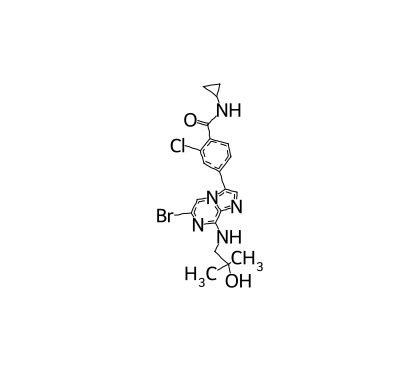 CC(C)(O)CNc1nc(Br)cn2c(-c3ccc(C(=O)NC4CC4)c(Cl)c3)cnc12